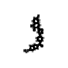 CN1CC2CN(C(=O)c3ccc(-n4cc(-c5cc6cc(F)ccc6[nH]c5=O)nn4)cc3)CC2C1